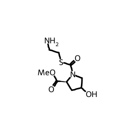 COC(=O)[C@@H]1CC(O)CN1C(=O)SCCN